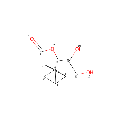 C12C3C4C1C234.O=COCC(O)CO